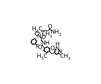 Cc1cc(Cc2ccc(C(=O)NCC(=O)N3[C@H](c4cccc(F)c4)CC[C@@H]3C(C)(C)CCC(N)=O)cc2C)c(=O)[nH]n1